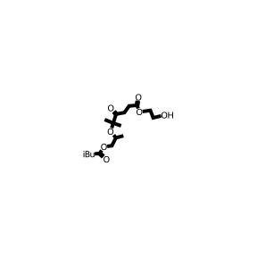 CCC(C)C(=O)OCC(C)OC(C)(C)C(=O)CCC(=O)OCCO